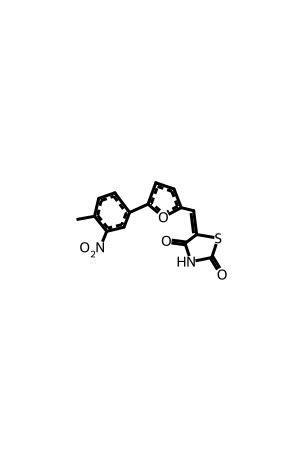 Cc1ccc(-c2ccc(C=C3SC(=O)NC3=O)o2)cc1[N+](=O)[O-]